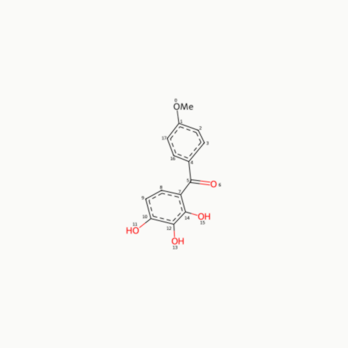 COc1ccc(C(=O)c2ccc(O)c(O)c2O)cc1